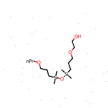 CCCOCCC[Si](C)(C)O[Si](C)(C)CCCOCCO